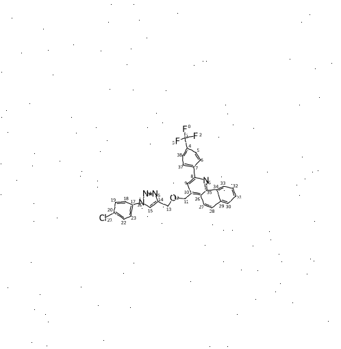 FC(F)(F)c1ccc(-c2cc(COCc3cn(-c4ccc(Cl)cc4)nn3)c3ccc4ccccc4c3n2)cc1